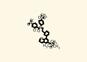 CC(C)(c1cc(-c2cccc(CCN(C(=O)c3ccc([N+](=O)[O-])cc3Cl)c3ccc(S(C)(=O)=O)cc3)c2)c2ncccc2c1)S(C)(=O)=O